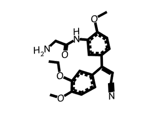 CCOc1cc(/C(=C\C#N)c2ccc(OC)c(NC(=O)CN)c2)ccc1OC